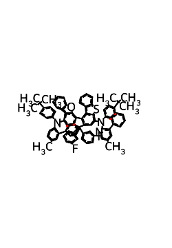 Cc1ccc(N(c2ccc(C(C)(C)C)cc2)c2cc3c(c4oc5ccccc5c24)-c2c(cc(N(c4ccc(C(C)(C)C)cc4)c4ncc(C)cc4-c4ccccc4)c4sc5ccccc5c24)C3(c2cccc(F)c2)c2cccc(F)c2)c(-c2ccccc2)c1